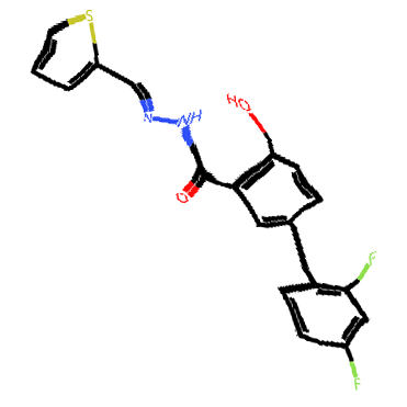 O=C(NN=Cc1cccs1)c1cc(-c2ccc(F)cc2F)ccc1O